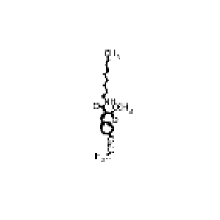 CCCCCCCCCNC(=O)C(=Cc1ccc(OCOC)cc1)C(=O)OC